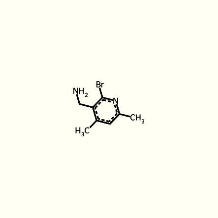 Cc1cc(C)c(CN)c(Br)n1